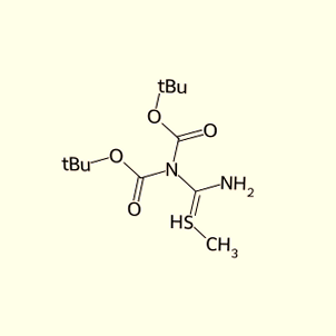 C[SH]=C(N)N(C(=O)OC(C)(C)C)C(=O)OC(C)(C)C